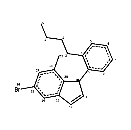 CCCCc1ccccc1C1C=Cc2cc(Br)cc(C)c21